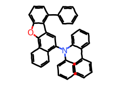 c1ccc(-c2ccccc2N(c2ccccc2)c2cc3c(oc4cccc(-c5ccccc5)c43)c3ccccc23)cc1